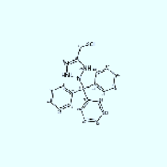 ClCC1=NNN(C(c2ccccc2)(c2ccccc2)c2ccccc2)N1